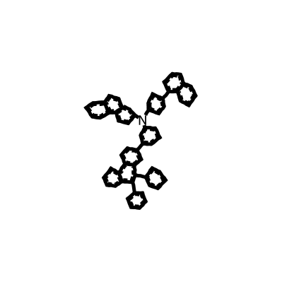 c1ccc(-c2c(-c3ccccc3)c3cc(-c4cccc(N(c5ccc(-c6cccc7ccccc67)cc5)c5ccc6c(ccc7ccccc76)c5)c4)ccc3c3ccccc23)cc1